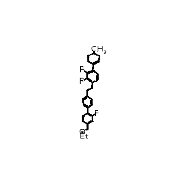 CCOCc1ccc(-c2ccc(CCc3ccc(C4=CCC(C)CC4)c(F)c3F)cc2)c(F)c1